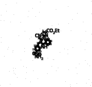 CCOC(=O)c1csc(N/C(CC#N)=C(/Cc2ccc(S(N)(=O)=O)cc2)C(=N)c2ccccc2)n1